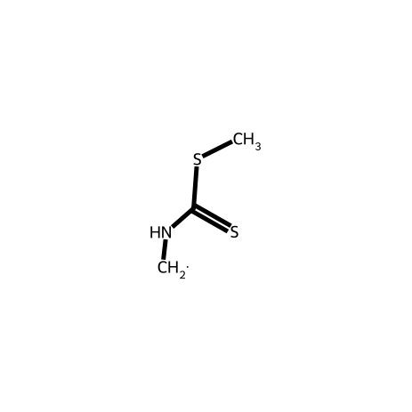 [CH2]NC(=S)SC